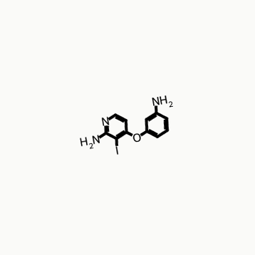 Nc1cccc(Oc2ccnc(N)c2I)c1